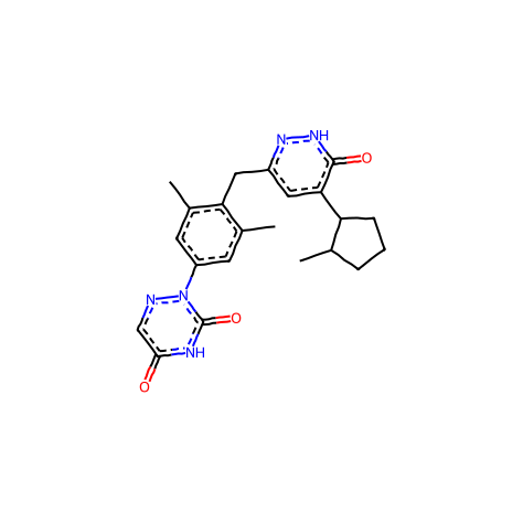 Cc1cc(-n2ncc(=O)[nH]c2=O)cc(C)c1Cc1cc(C2CCCC2C)c(=O)[nH]n1